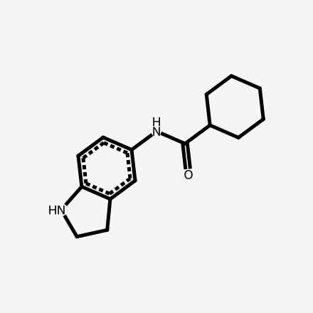 O=C(Nc1ccc2c(c1)CCN2)C1CCCCC1